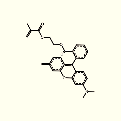 C=C(C)C(=O)OCCOC(=O)c1ccccc1C1=c2ccc(=C)cc2Oc2cc(N(C)C)ccc21